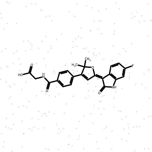 CC1(C)O/C(=C2/C(=O)Nc3cc(F)ccc32)C=C1c1ccc(C(=O)NCC(=O)O)cc1